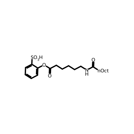 CCCCCCCCC(=O)NCCCCCC(=O)Oc1ccccc1S(=O)(=O)O